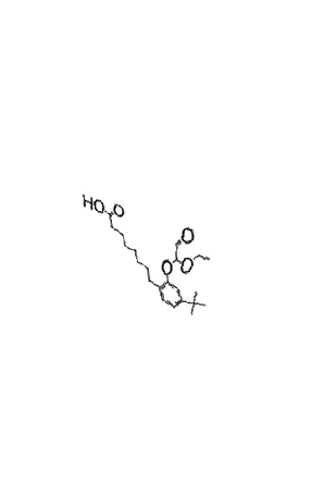 CCOC(C=O)Oc1cc(C(C)(C)C)ccc1CCCCCCCC(=O)O